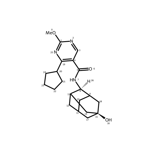 COc1ncc(C(=O)N[C@H]2C3CC4CC2C[C@@](O)(C4)C3)c(C2CCCC2)n1